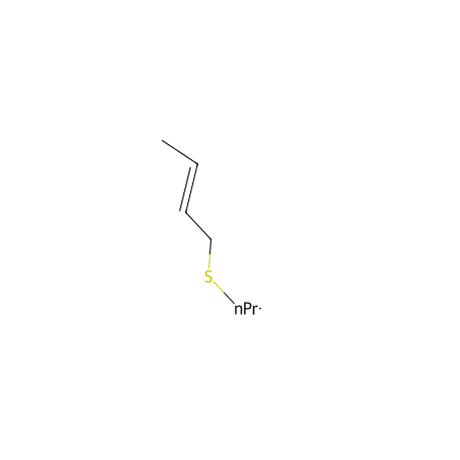 C/C=C/CS[CH]CC